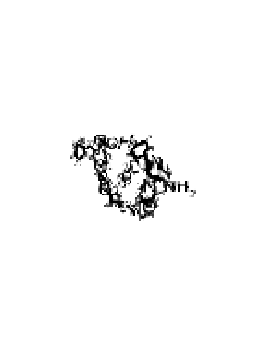 COCOc1ccccc1-c1cc(N2CCC3(CC2)CN(CCOC2CC(OCCN4CCN(C(=O)O)C(Cc5ccccc5)C4)C2)CCO3)c(N)nn1